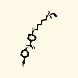 C=C[Si](C)(C)CCCCCCOc1ccc(C(=O)Oc2ccc(C#N)cc2)cc1